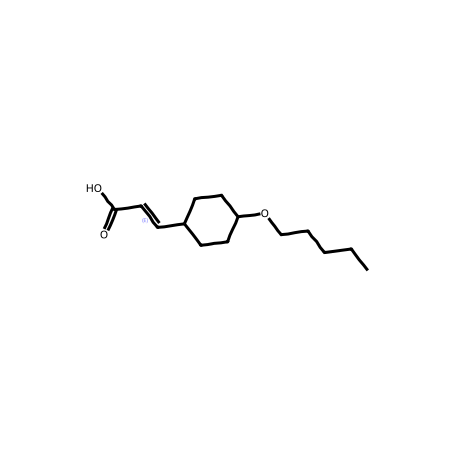 CCCCCOC1CCC(/C=C/C(=O)O)CC1